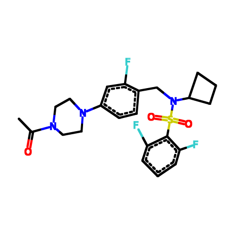 CC(=O)N1CCN(c2ccc(CN(C3CCC3)S(=O)(=O)c3c(F)cccc3F)c(F)c2)CC1